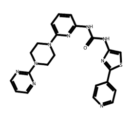 O=C(Nc1cccc(N2CCN(c3ncccn3)CC2)n1)Nc1csc(-c2ccncc2)n1